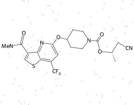 CNC(=O)c1csc2c(C(F)(F)F)cc(OC3CCN(C(=O)O[C@@H](C)CC#N)CC3)nc12